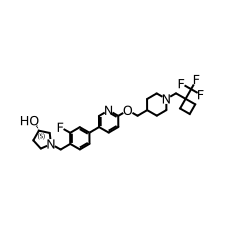 O[C@H]1CCN(Cc2ccc(-c3ccc(OCC4CCN(CC5(C(F)(F)F)CCC5)CC4)nc3)cc2F)C1